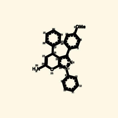 COc1ccc(-c2nn(-c3ccccc3)c3c2C(c2ccccc2)C=C(N)O3)cc1